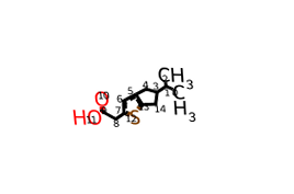 CC(C)C1Cc2cc(CC(=O)O)sc2C1